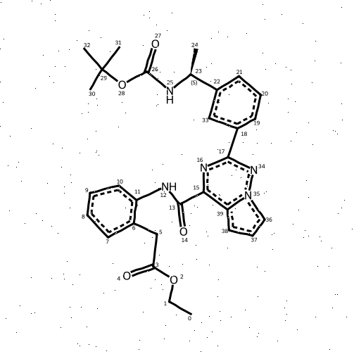 CCOC(=O)Cc1ccccc1NC(=O)c1nc(-c2cccc([C@H](C)NC(=O)OC(C)(C)C)c2)nn2cccc12